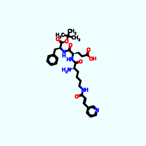 CC(C)(C)OC(=O)[C@H](Cc1ccccc1)NC(=O)[C@H](CCC(=O)O)NC(=O)[C@@H](N)CCCCNC(=O)/C=C/c1cccnc1